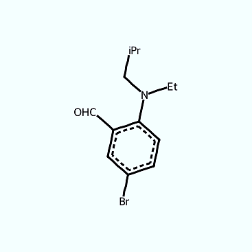 CCN(CC(C)C)c1ccc(Br)cc1C=O